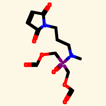 CN(CCCN1C(=O)C=CC1=O)P(=O)(COC=O)COC=O